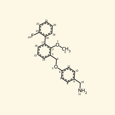 COc1c(COc2ccc(CN)cc2)cccc1-c1ccccc1F